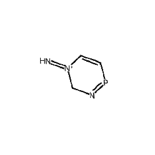 N=[N+]1C=CP=NC1